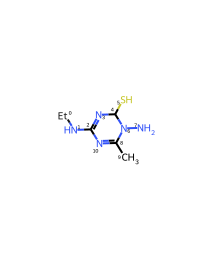 CCNC1=NC(S)N(N)C(C)=N1